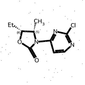 CC[C@H]1OC(=O)N(c2ccnc(Cl)n2)[C@H]1C